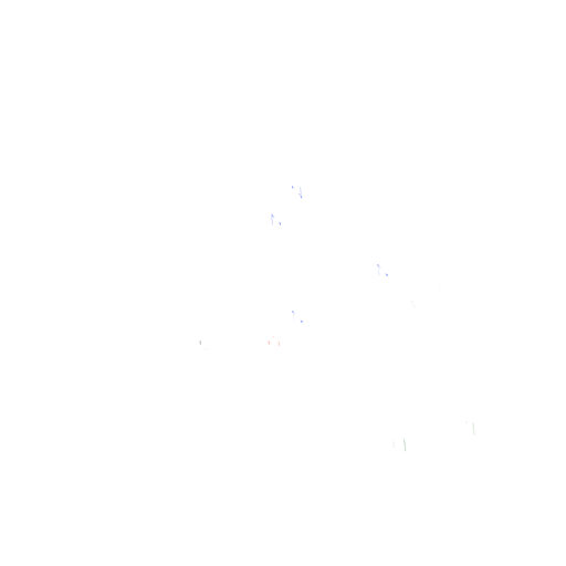 O=C(c1ccc(Cl)c(Cl)c1)N1CCc2nn3c(c2C1)-c1noc(C(F)(F)F)c1CCC3